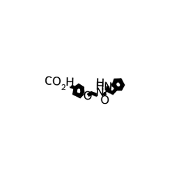 O=C(O)Cc1ccc(OCCNC(=O)[C@@H]2Cc3ccccc3N2)cc1